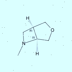 CN1C[C@H]2COC[C@H]21